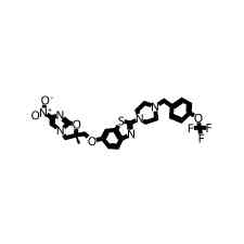 C[C@@]1(COc2ccc3nc(N4CCN(Cc5ccc(OC(F)(F)F)cc5)CC4)sc3c2)Cn2cc([N+](=O)[O-])nc2O1